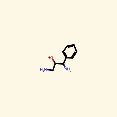 NCC(O)C(N)c1ccccc1